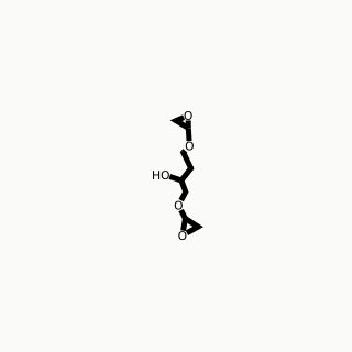 OC(CCOC1CO1)COC1CO1